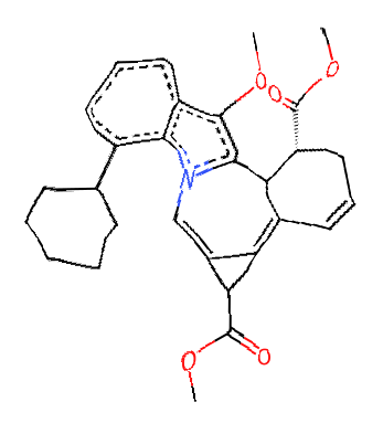 COC(=O)C1C2=Cn3c(c(OC)c4cccc(C5CCCCC5)c43)C3C(=C21)C=CC[C@H]3C(=O)OC